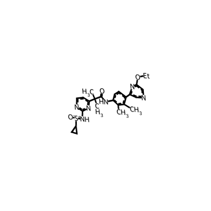 CCOc1cncc(-c2ccc(NC(=O)C(C)(C)c3ccnc(N[S+]([O-])C4CC4)n3)c(C)c2C)n1